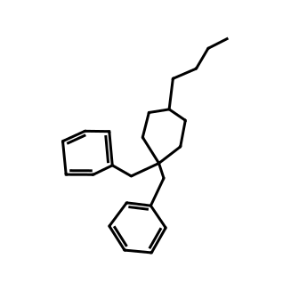 CCCCC1CCC(Cc2ccccc2)(Cc2ccccc2)CC1